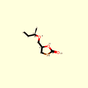 CC[C@@H](C)OCC1CSC(=O)O1